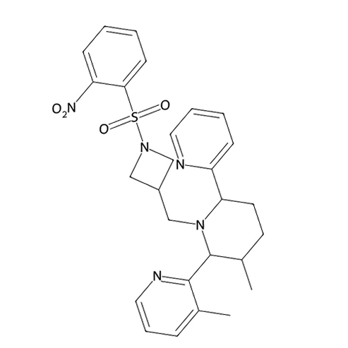 Cc1cccnc1C1C(C)CCC(c2ccccn2)N1CC1CN(S(=O)(=O)c2ccccc2[N+](=O)[O-])C1